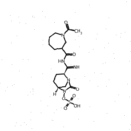 CC(=O)N1CCCCC(C(=O)NC(=N)[C@@H]2CC[C@@H]3CN2C(=O)N3OS(=O)(=O)O)C1